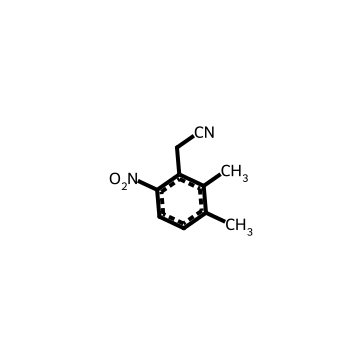 Cc1ccc([N+](=O)[O-])c(CC#N)c1C